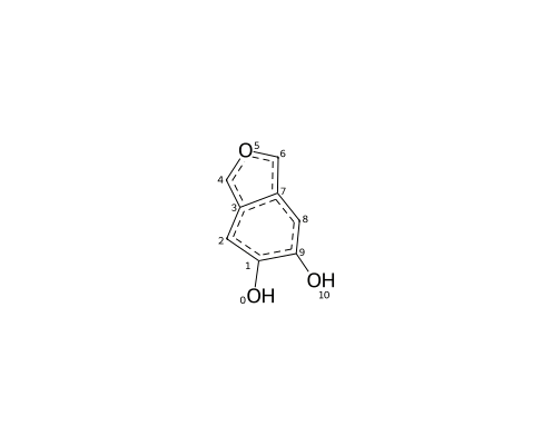 Oc1cc2cocc2cc1O